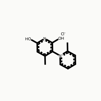 Cc1cc(O)nc(O)c1-[n+]1ccccc1C.[Cl-]